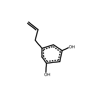 C=CCc1cc(O)cc(O)c1